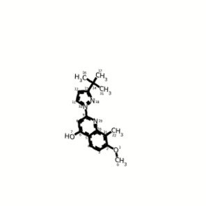 COc1ccc2c(O)cc(-n3ccc(C(C)(C)C)n3)nc2c1C